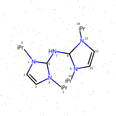 CC(C)N1C=CN(C(C)C)C1NC1N(C(C)C)C=CN1C(C)C